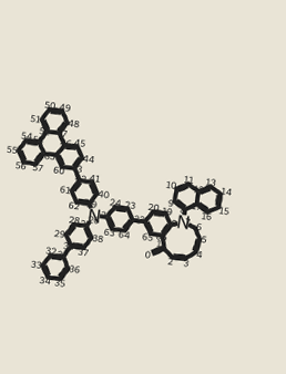 C=C1/C=C\C=C/CN(c2cccc3ccccc23)c2ccc(-c3ccc(N(c4ccc(-c5ccccc5)cc4)c4ccc(-c5ccc6c7ccccc7c7ccccc7c6c5)cc4)cc3)cc21